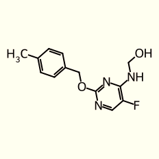 Cc1ccc(COc2ncc(F)c(NCO)n2)cc1